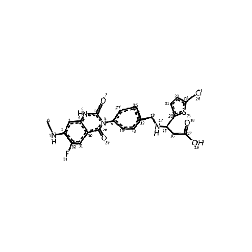 CNc1cc2[nH]c(=O)n(-c3ccc(CNC(CC(=O)O)c4ccc(Cl)s4)cc3)c(=O)c2cc1F